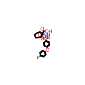 O=C(O)C1(NS(=O)(=O)c2ccc(Oc3ccc(F)cc3)cc2)CC2CCC(C1)O2